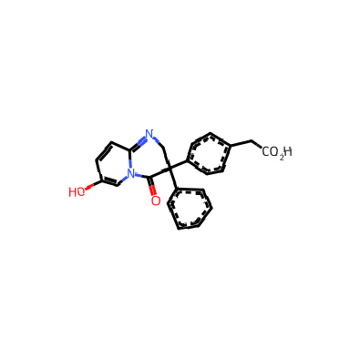 O=C(O)Cc1ccc(C2(c3ccccc3)CN=C3C=CC(O)=CN3C2=O)cc1